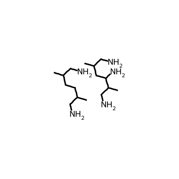 CC(CN)CC(N)C(C)CN.CC(CN)CCC(C)CN